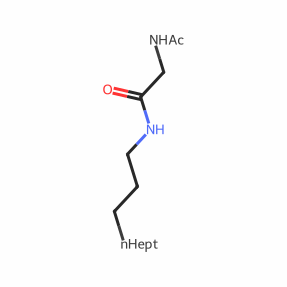 CCCCCCCCCCNC(=O)CNC(C)=O